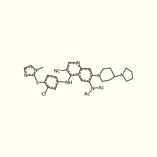 CC(=O)N(C(C)=O)c1cc2c(Nc3ccc(Sc4nccn4C)c(Cl)c3)c(C#N)cnc2cc1N1CCC(N2CCCC2)CC1